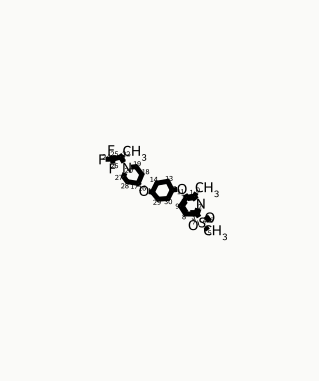 Cc1nc(S(C)(=O)=O)ccc1OC1CCC(OC2CCN(C(C)C(F)(F)F)CC2)CC1